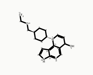 OC1C=CN([C@H]2CC[C@H](COCC(F)(F)F)CC2)c2c1cnc1[nH]ccc21